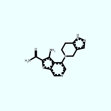 NC(=O)c1sc2cncc(N3CCc4[nH]ncc4C3)c2c1N